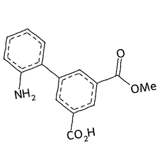 COC(=O)c1cc(C(=O)O)cc(-c2ccccc2N)c1